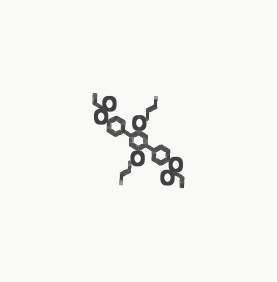 C=CC(=O)Oc1ccc(-c2cc(OC/C=C/C)c(-c3ccc(OC(=O)C=C)cc3)cc2OC/C=C/C)cc1